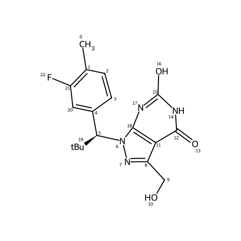 Cc1ccc([C@@H](n2nc(CO)c3c(=O)[nH]c(O)nc32)C(C)(C)C)cc1F